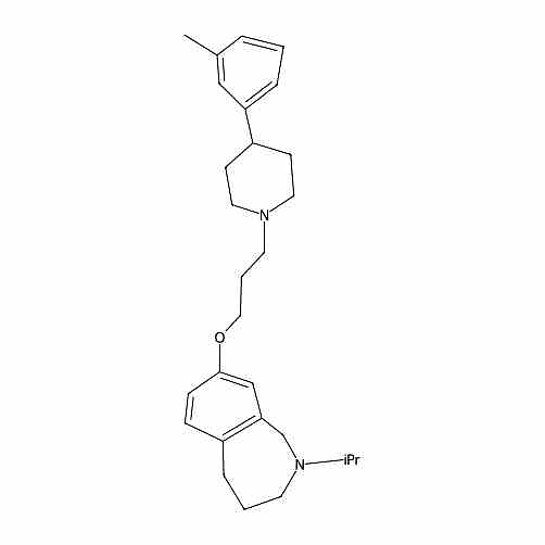 Cc1cccc(C2CCN(CCCOc3ccc4c(c3)CN(C(C)C)CCC4)CC2)c1